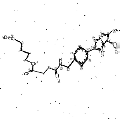 CCCCCCCCCCCCCCOC(=O)CCC(=O)NCc1ccc(-c2nn3nc(C(C)(C)C)c(Cl)c3[nH]2)cc1